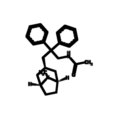 CC(=O)NCC(C[C@H]1C[C@H]2CC[C@@H](C1)N2C)(c1ccccc1)c1ccccc1